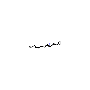 CC(=O)OCCC/C=C/CCCl